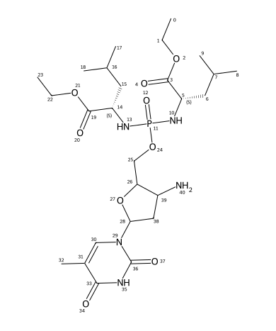 CCOC(=O)[C@H](CC(C)C)NP(=O)(N[C@@H](CC(C)C)C(=O)OCC)OCC1OC(n2cc(C)c(=O)[nH]c2=O)CC1N